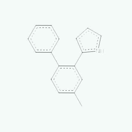 Cc1ccc(-c2ccccc2)c(-c2ccc[nH]2)c1